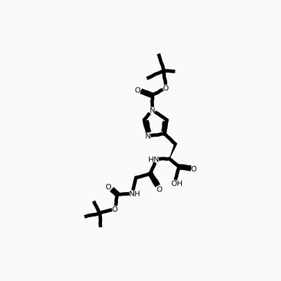 CC(C)(C)OC(=O)NCC(=O)N[C@@H](Cc1cn(C(=O)OC(C)(C)C)cn1)C(=O)O